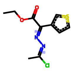 CCOC(=O)/C(=N/N=C(\C)Cl)c1ccsc1